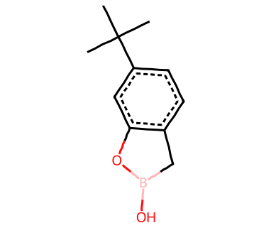 CC(C)(C)c1ccc2c(c1)OB(O)C2